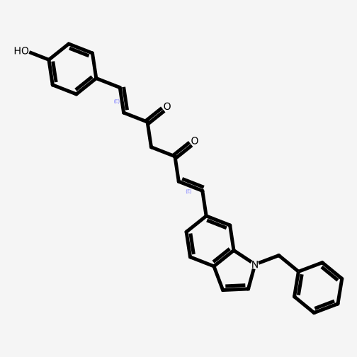 O=C(/C=C/c1ccc(O)cc1)CC(=O)/C=C/c1ccc2ccn(Cc3ccccc3)c2c1